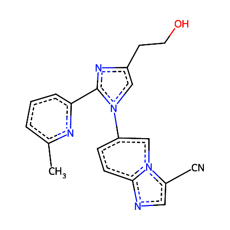 Cc1cccc(-c2nc(CCO)cn2-c2ccc3ncc(C#N)n3c2)n1